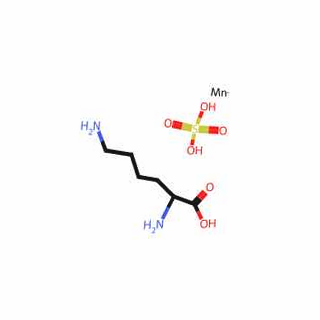 NCCCCC(N)C(=O)O.O=S(=O)(O)O.[Mn]